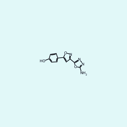 Nc1nnc(-c2cc(-c3ccc(O)cc3)on2)o1